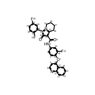 O=C(Nc1ccc(Oc2ccnc3ccccc23)c(F)c1)c1c2n(n(-c3cc(F)ccc3F)c1=O)CCCC2